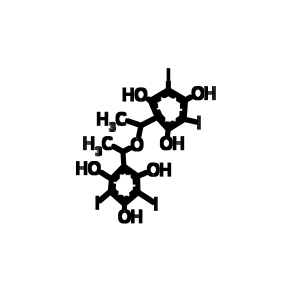 CC(OC(C)c1c(O)c(I)c(O)c(I)c1O)c1c(O)c(I)c(O)c(I)c1O